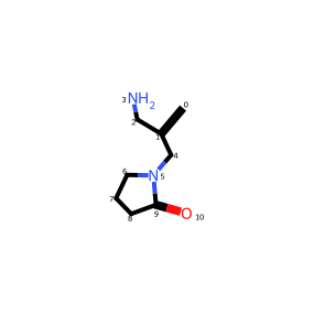 C=C(CN)CN1CCCC1=O